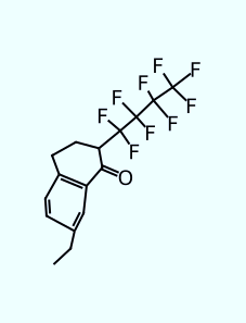 CCc1ccc2c(c1)C(=O)C(C(F)(F)C(F)(F)C(F)(F)C(F)(F)F)CC2